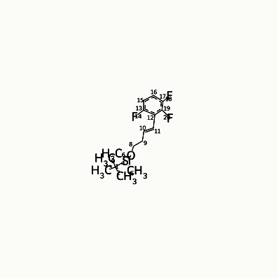 CC(C)(C)[Si](C)(C)OCCC=Cc1c(F)ccc(F)c1F